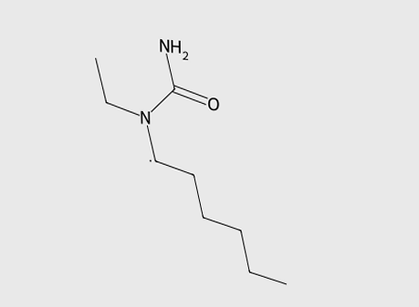 CCCCC[CH]N(CC)C(N)=O